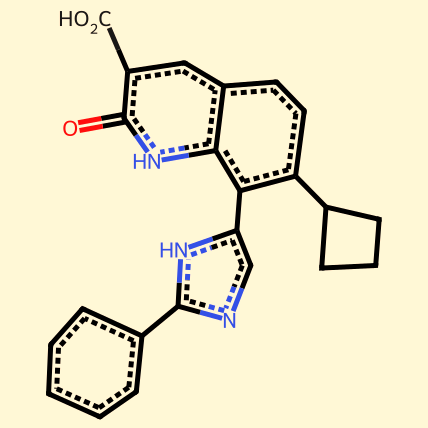 O=C(O)c1cc2ccc(C3CCC3)c(-c3cnc(-c4ccccc4)[nH]3)c2[nH]c1=O